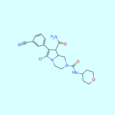 N#Cc1cccc(C2=C(Cl)N3CCN(C(=O)NC4CCOCC4)CC3C2C(N)=O)c1